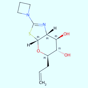 C=CC[C@H]1O[C@@H]2SC(N3CCC3)=N[C@@H]2[C@@H](O)[C@@H]1O